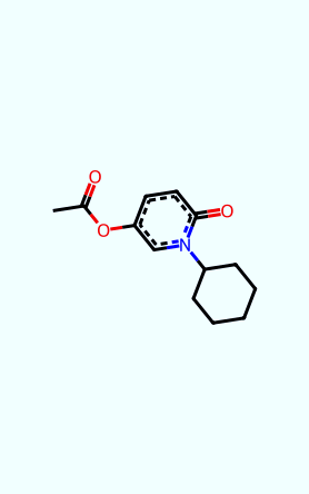 CC(=O)Oc1ccc(=O)n(C2CCCCC2)c1